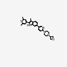 Cc1cc(-c2[nH]c3cc(-c4ccc(N5CCN(C6COC6)CC5)nc4)ccc3c2C)cc(C)n1